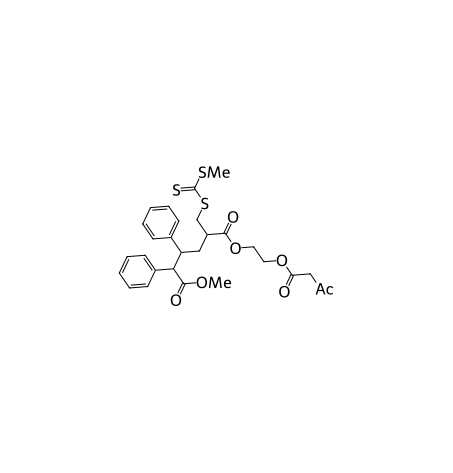 COC(=O)C(c1ccccc1)C(CC(CSC(=S)SC)C(=O)OCCOC(=O)CC(C)=O)c1ccccc1